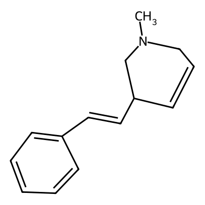 CN1CC=CC(/C=C/c2ccccc2)C1